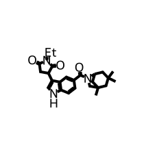 CCN1C(=O)CC(c2c[nH]c3ccc(C(=O)N4CC5(C)CC4CC(C)(C)C5)cc23)C1=O